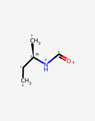 CC[C@@H](C)NC=O